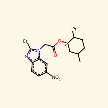 CCc1nc2ccc([N+](=O)[O-])cc2n1CC(=O)O[C@@H]1CC(C)CCC1C(C)C